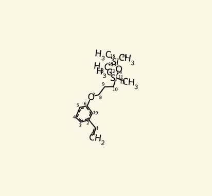 C=Cc1cccc(OCCC[Si](C)(C)O[Si](C)(C)C)c1